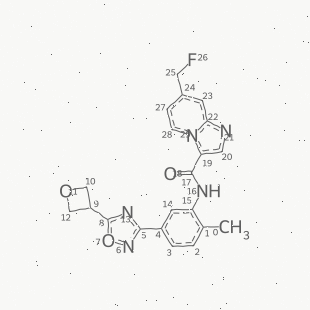 Cc1ccc(-c2noc(C3COC3)n2)cc1NC(=O)c1cnc2cc(CF)ccn12